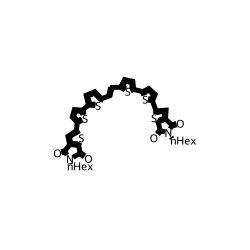 CCCCCCN1C(=O)c2cc(-c3ccc(-c4ccc(/C=C/c5ccc(-c6ccc(-c7cc8c(s7)C(=O)N(CCCCCC)C8=O)s6)s5)s4)s3)sc2C1=O